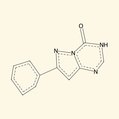 O=c1[nH]cnc2cc(-c3ccccc3)nn12